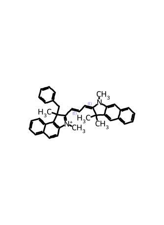 CN1/C(=C/C=C/C2=[N+](C)c3ccc4ccccc4c3C2(C)Cc2ccccc2)C(C)(C)c2cc3ccccc3cc21